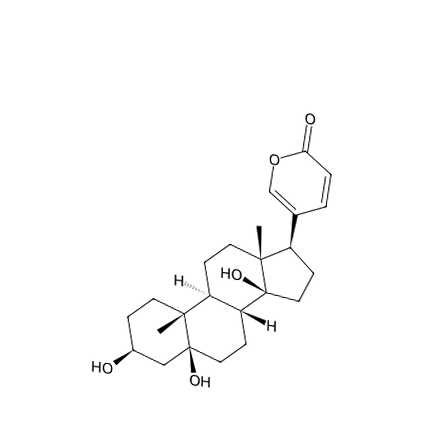 C[C@]12CC[C@H](O)C[C@@]1(O)CC[C@@H]1[C@@H]2CC[C@]2(C)[C@@H](c3ccc(=O)oc3)CC[C@]12O